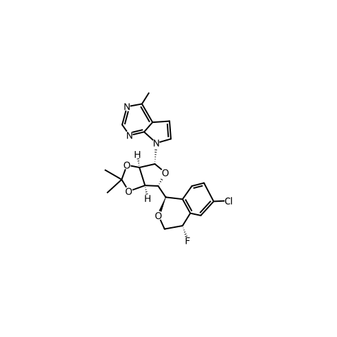 Cc1ncnc2c1ccn2[C@@H]1O[C@H]([C@@H]2OC[C@@H](F)c3cc(Cl)ccc32)[C@H]2OC(C)(C)O[C@H]21